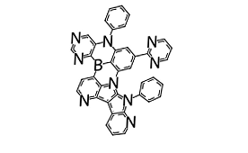 c1ccc(N2c3cncnc3B3c4c2cc(-c2ncccn2)cc4-n2c4c3ccnc4c3c4cccnc4n(-c4ccccc4)c32)cc1